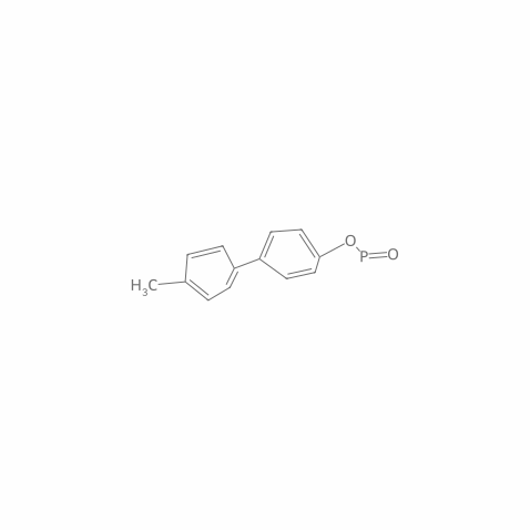 Cc1ccc(-c2ccc(OP=O)cc2)cc1